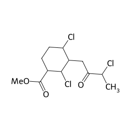 COC(=O)C1CCC(Cl)C(CC(=O)C(C)Cl)C1Cl